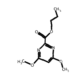 CCCOC(=O)c1nc(OC)cc(OC)n1